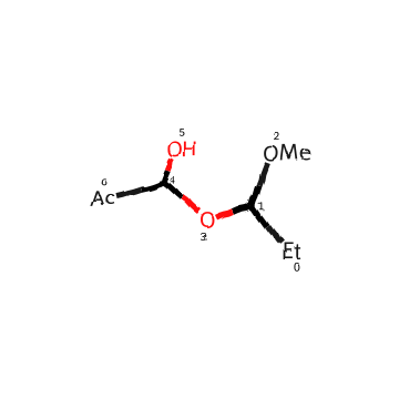 CCC(OC)OC(O)C(C)=O